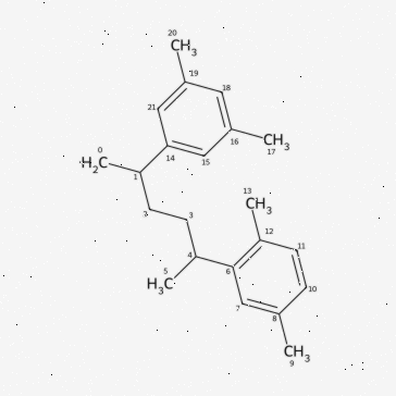 [CH2]C(CCC(C)c1cc(C)ccc1C)c1cc(C)cc(C)c1